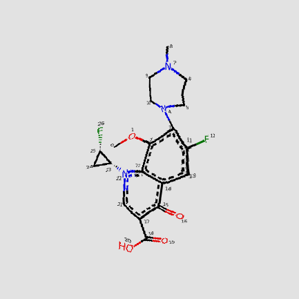 COc1c(N2CCN(C)CC2)c(F)cc2c(=O)c(C(=O)O)cn([C@@H]3C[C@@H]3F)c12